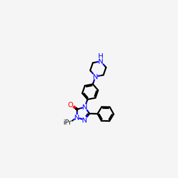 CC(C)n1nc(-c2ccccc2)n(-c2ccc(N3CCNCC3)cc2)c1=O